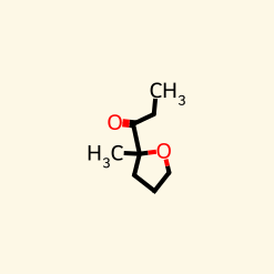 CCC(=O)C1(C)CCCO1